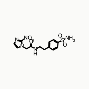 NS(=O)(=O)c1ccc(CCNC(=O)Cn2ccnc2[N+](=O)[O-])cc1